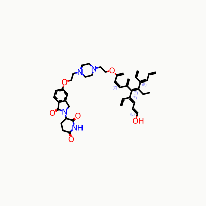 C=C/C=C(C=C)/C(CC)=C(C(=C)/C=C\C(=C)OCCN1CCN(CCOc2ccc3c(c2)CN(C2CCC(=O)NC2=O)C3=O)CC1)/C(C=C)=C/C=C/O